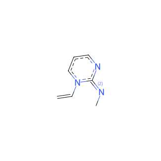 C=Cn1cccn/c1=N/C